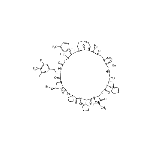 CCO[C@@H]1C[C@H]2C(=O)NC3(CCC3)C(=O)N(C)[C@@H](C3CCCC3)C(=O)N(C)[C@H](C(=O)N(C)C)CC(=O)N(C)[C@@H](CC3CCCC3)C(=O)N[C@@H]([C@@H](C)CC)C(=O)N(C)CC(=O)N(C)[C@H]3C/C=C\CCN(C3=O)[C@@H](Cc3ccc(C(F)(F)F)cc3)C(=O)N(C)CC(=O)N[C@@H](CCc3cc(F)c(C(F)(F)F)c(F)c3)C(=O)N2C1